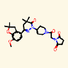 COc1ccc(C2=NN(C3CCN(C(=O)CN4C(=O)CCC4=O)CC3)C(=O)C(C)(C)C2)c2c1OC(C)(C)C2